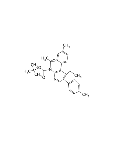 CCc1c(-c2ccc(C)cc2)cnc(N(C(C)=O)C(=O)OC(C)(C)C)c1-c1ccc(C)cc1